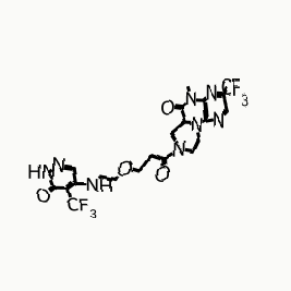 CN1C(=O)C2CN(C(=O)CCOCCNc3cn[nH]c(=O)c3C(F)(F)F)CCN2c2ncc(C(F)(F)F)nc21